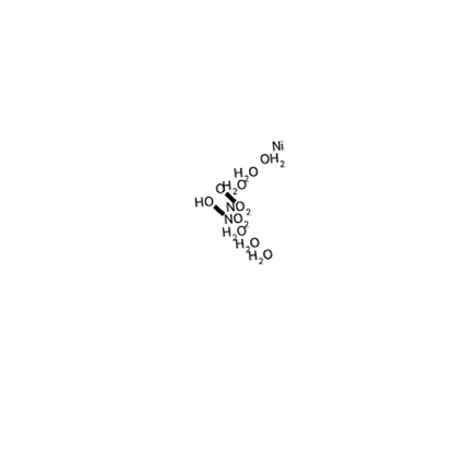 O.O.O.O.O.O.O=[N+]([O-])O.O=[N+]([O-])[O-].[Ni]